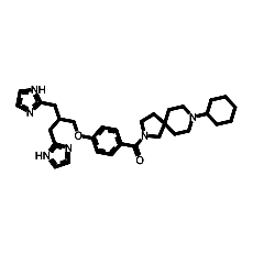 O=C(c1ccc(OCC(Cc2ncc[nH]2)Cc2ncc[nH]2)cc1)N1CCC2(CCN(C3CCCCC3)CC2)C1